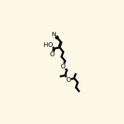 CCCC(C)OC(C)COCCCC(=CC#N)C(=O)O